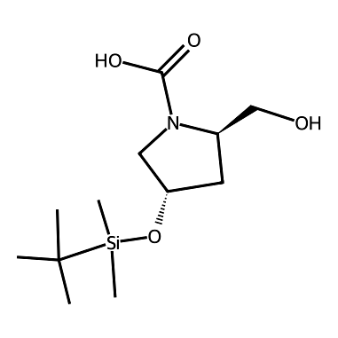 CC(C)(C)[Si](C)(C)O[C@H]1C[C@H](CO)N(C(=O)O)C1